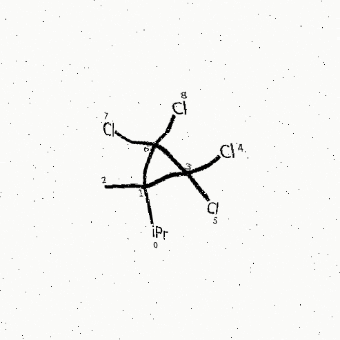 CC(C)C1(C)C(Cl)(Cl)C1(Cl)Cl